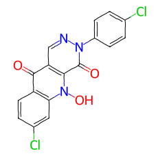 O=c1c2ccc(Cl)cc2n(O)c2c(=O)n(-c3ccc(Cl)cc3)ncc12